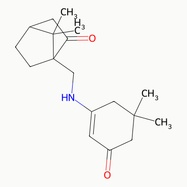 CC1(C)CC(=O)C=C(NCC23CCC(CC2=O)C3(C)C)C1